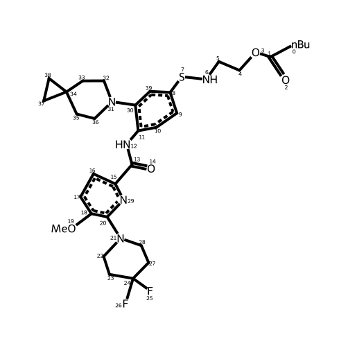 CCCCC(=O)OCCNSc1ccc(NC(=O)c2ccc(OC)c(N3CCC(F)(F)CC3)n2)c(N2CCC3(CC2)CC3)c1